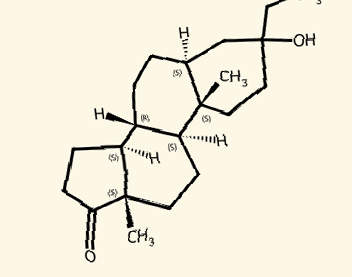 CCC1(O)CC[C@@]2(C)[C@@H](CC[C@@H]3[C@@H]2CC[C@]2(C)C(=O)CC[C@@H]32)C1